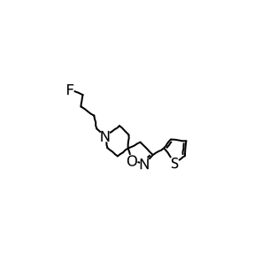 FCCCCN1CCC2(CC1)CC(c1cccs1)=NO2